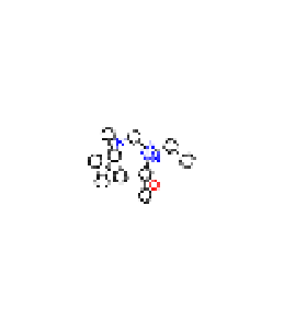 c1ccc(-c2cccc(-c3nc(-c4cccc(-n5c6ccccc6c6cc7c(cc65)-c5ccccc5C75c6ccccc6-c6ccccc65)c4)nc(-c4ccc5c(c4)oc4ccccc45)n3)c2)cc1